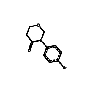 O=C1CCOCN1c1ccc(Br)cc1